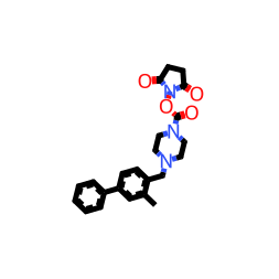 Cc1cc(-c2ccccc2)ccc1CN1CCN(C(=O)ON2C(=O)CCC2=O)CC1